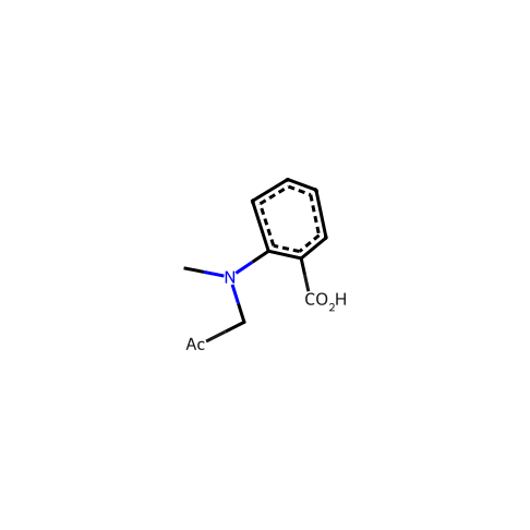 CC(=O)CN(C)c1ccccc1C(=O)O